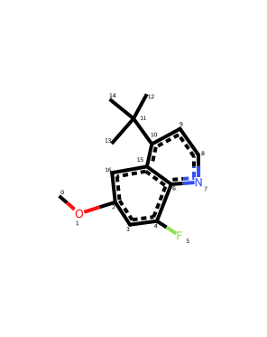 COc1cc(F)c2nccc(C(C)(C)C)c2c1